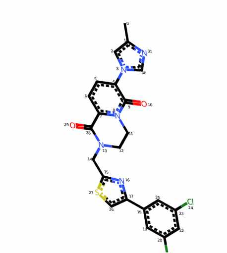 Cc1cn(-c2ccc3n(c2=O)CCN(Cc2nc(-c4cc(Cl)cc(Cl)c4)cs2)C3=O)cn1